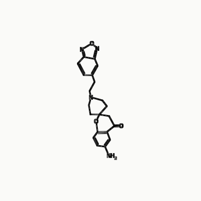 Nc1ccc2c(c1)C(=O)CC1(CCN(CCc3ccc4nonc4c3)CC1)O2